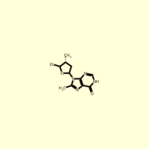 CCC1OC(n2c(C)nc3c(=O)[nH]cnc32)C[C@H]1C